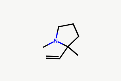 C=CC1(C)CCCN1C